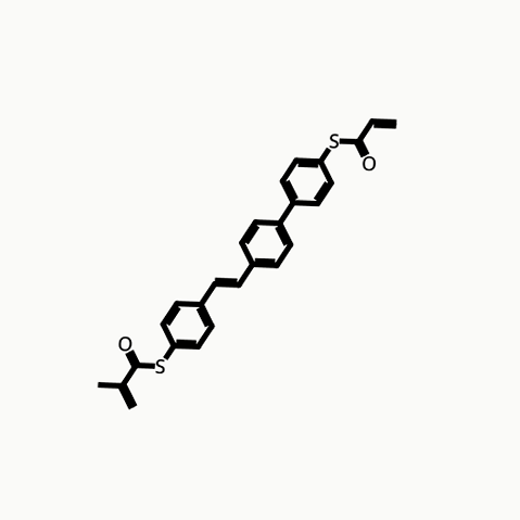 C=CC(=O)Sc1ccc(-c2ccc(/C=C/c3ccc(SC(=O)C(=C)C)cc3)cc2)cc1